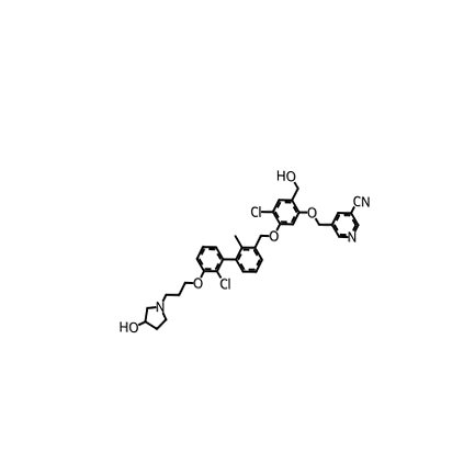 Cc1c(COc2cc(OCc3cncc(C#N)c3)c(CO)cc2Cl)cccc1-c1cccc(OCCCN2CCC(O)C2)c1Cl